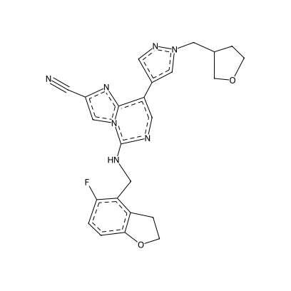 N#Cc1cn2c(NCc3c(F)ccc4c3CCO4)ncc(-c3cnn(CC4CCOC4)c3)c2n1